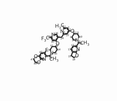 Cc1cc(OC2CCN(C(C)c3ccc4c(n3)OCC4)CC2)cc(Cc2cnc(C(F)(F)F)cc2OC2CCN(C(C)c3nc4c(cc3F)OCCO4)CC2)n1